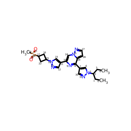 CCC(CC)n1cc(-c2nc(-c3cnn(C4CC(S(C)(=O)=O)C4)c3)cn3nccc23)cn1